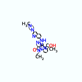 C=CCn1c(=O)c2cnc(Nc3ccc4cc(N5CCN(C)CC5)cnc4c3)nc2n1-c1cccc(C(C)(C)O)n1